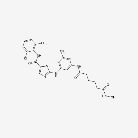 Cc1nc(NC(=O)CCCCC(=O)NO)cc(Nc2ncc(C(=O)Nc3c(C)cccc3Cl)s2)n1